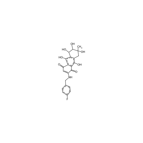 CC1(O)Cc2c(O)c3c(c(O)c2C(O)C1O)C(=O)C=C(NCc1ccc(F)cc1)C3=O